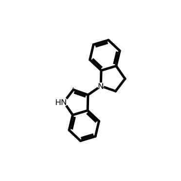 [c]1[nH]c2ccccc2c1N1CCc2ccccc21